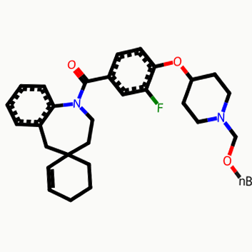 CCCCOCN1CCC(Oc2ccc(C(=O)N3CCC4(C=CCCC4)Cc4ccccc43)cc2F)CC1